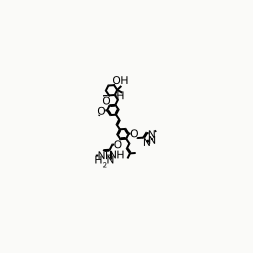 CN/C=C(/COc1cc(/C=C/c2cc3c(c(OC)c2)O[C@]2(C)CC[C@@H](O)C(C)(C)[C@H]2C3)cc(OCc2cn(C)nn2)c1CC=C(C)C)NN